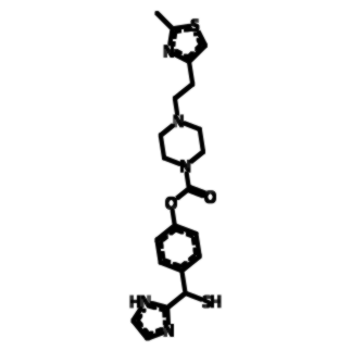 Cc1nc(CCN2CCN(C(=O)Oc3ccc(C(S)c4ncc[nH]4)cc3)CC2)cs1